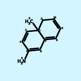 CC12C=CC(N)=CC1=CC=CC2